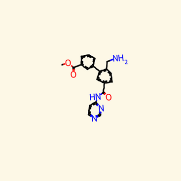 COC(=O)c1cccc(-c2cc(C(=O)Nc3ccncn3)ccc2CN)c1